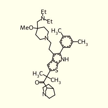 CCN(CC)CC1(OC)CCN(CCc2c(-c3cc(C)cc(C)c3)[nH]c3sc(C(C)(C)C(=O)C4C5CCN4CC5)cc23)CC1